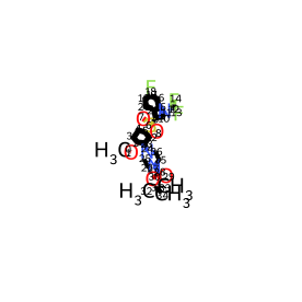 COc1ccc(S(=O)(=O)c2cn(C(F)F)c3cc(F)ccc23)cc1N1CCN(C(=O)OC(C)(C)C)CC1